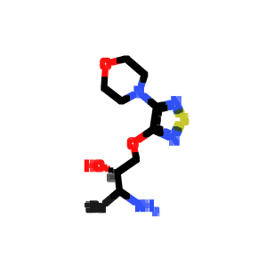 CC(C)(C)C(N)[C@H](O)COc1nsnc1N1CCOCC1